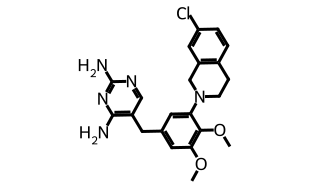 COc1cc(Cc2cnc(N)nc2N)cc(N2CCc3ccc(Cl)cc3C2)c1OC